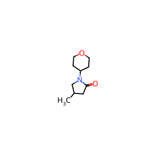 CC1CC(=O)N(C2CCOCC2)C1